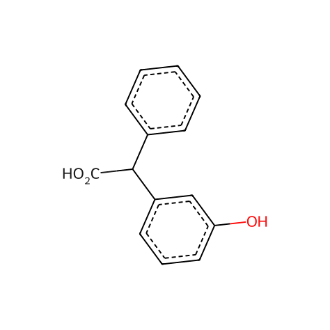 O=C(O)C(c1ccccc1)c1cccc(O)c1